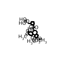 COc1cc2c(c(OC)c1OC)-c1ccc(SC)c(=O)cc1[C@@H](NC(=O)c1cccc(CON(O)O)c1Cl)CC2